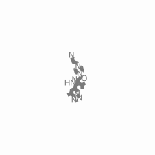 Cc1cc(-c2[nH]nc(C(=O)N3CCN(CCC#N)CC3)c2C(C)C)cn2ncnc12